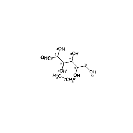 CC.O=CC(O)C(O)C(O)C(O)CO